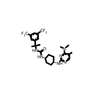 Cc1cnc(N[C@H]2CC[C@@H](NC(=O)NC(C)(C)c3cc(C(F)(F)F)cc(C(F)(F)F)c3)CC2)nc1N(C)C